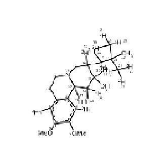 [2H]c1c2c(c([2H])c(OC)c1OC)C1([2H])N(CC2)CC([2H])(C([2H])([2H])C(C)(C([2H])([2H])[2H])C([2H])([2H])[2H])C([2H])(O)C1([2H])[2H]